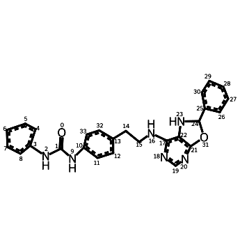 O=C(Nc1ccccc1)Nc1ccc(CCNc2ncnc3c2NC(c2ccccc2)O3)cc1